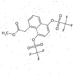 COC(=O)Cc1cccc2c(OS(=O)(=O)C(F)(F)F)ccc(OS(=O)(=O)C(F)(F)F)c12